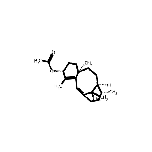 CC(=O)O[C@H]1CC[C@@]2(C)CC[C@H]3[C@H](C)CC/C(=C/C2=C1C)C3(C)C